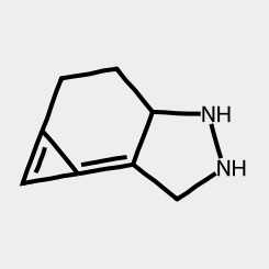 C1=C2CCC3NNCC3=C12